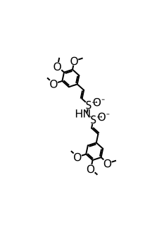 COc1cc(C=C[S+]([O-])N[S+]([O-])C=Cc2cc(OC)c(OC)c(OC)c2)cc(OC)c1OC